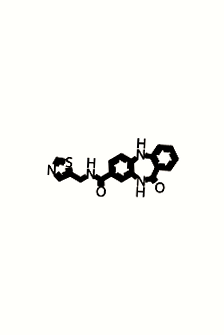 O=C(NCc1cncs1)c1ccc2c(c1)NC(=O)c1ccccc1N2